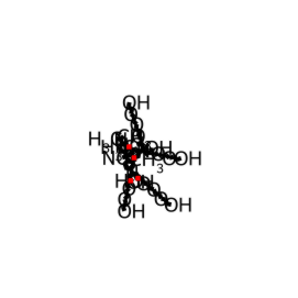 Cc1cc(N(CC(O)COCCOCCO)CC(O)COCCOCCOCCO)ccc1C(C#N)(c1ccc(N(C)C)cc1)c1ccc(N(CC(O)COCCOCCO)CC(O)COCCOCCOCCO)cc1C